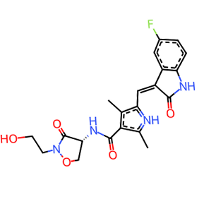 Cc1[nH]c(/C=C2\C(=O)Nc3ccc(F)cc32)c(C)c1C(=O)N[C@@H]1CON(CCO)C1=O